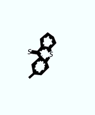 Cc1ccc2sc3ccccc3c(=S)c2c1